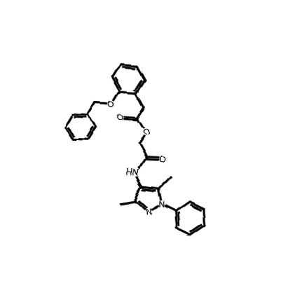 Cc1nn(-c2ccccc2)c(C)c1NC(=O)COC(=O)Cc1ccccc1OCc1ccccc1